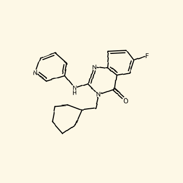 O=c1c2cc(F)ccc2nc(Nc2cccnc2)n1CC1CCCCC1